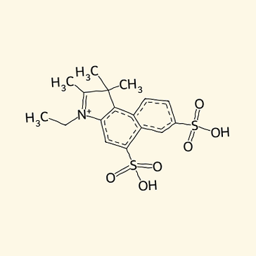 CC[N+]1=C(C)C(C)(C)c2c1cc(S(=O)(=O)O)c1cc(S(=O)(=O)O)ccc21